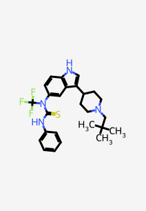 CC(C)(C)CN1CCC(c2c[nH]c3ccc(N(C(=S)Nc4ccccc4)C(F)(F)F)cc23)CC1